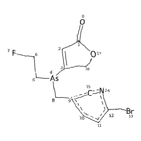 O=C1C=C([As](CCF)Cc2ccc(Br)nc2)CO1